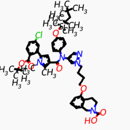 Cc1c(C(=O)N(c2ccc(O[Si](C)(C)C(C)(C)CC(C)(C)C)cc2)c2cnn(CCCCOc3cccc4c3CCN(C(=O)O)C4)c2)cc(-c2cc(Cl)ccc2C(=O)OC(C)(C)C)n1C